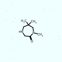 CN1CC(C)(C)CNCC1=O